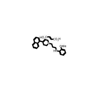 COc1ccccc1NCCCN1CC=C(c2cccc3ccccc23)CC1.O=C(O)C=CC(=O)O